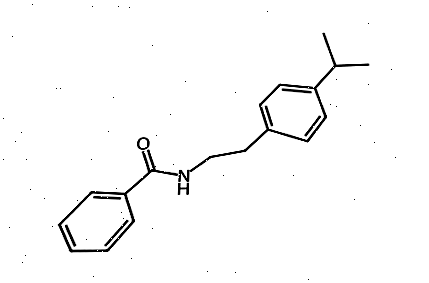 CC(C)c1ccc(CCNC(=O)c2ccccc2)cc1